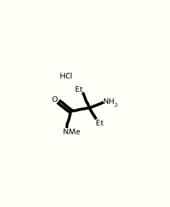 CCC(N)(CC)C(=O)NC.Cl